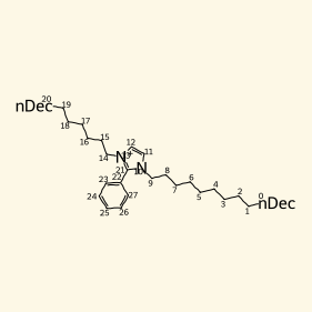 CCCCCCCCCCCCCCCCCCCn1cc[n+](CCCCCCCCCCCCCCCC)c1-c1ccccc1